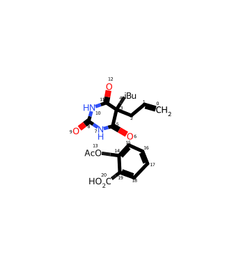 C=CCC1(C(C)CC)C(=O)NC(=O)NC1=O.CC(=O)Oc1ccccc1C(=O)O